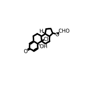 O=COC1CC[C@@H]2C1CCC1(Cl)C2CCC2=CC(=O)C=C[C@@]21O